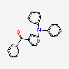 O=C(c1ccccc1)c1cccc(N(c2ccccc2)c2ccccc2)c1